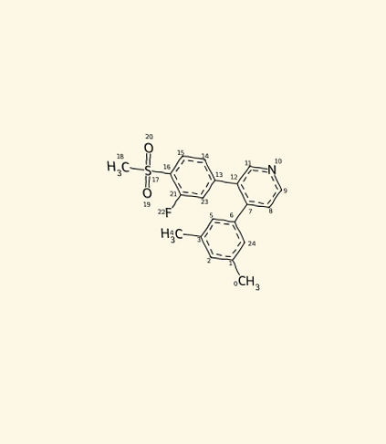 Cc1cc(C)cc(-c2ccncc2-c2ccc(S(C)(=O)=O)c(F)c2)c1